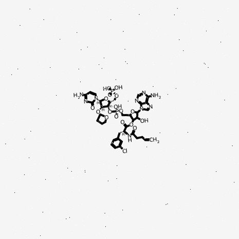 C=CCCC(=O)N[C@H](Cc1cccc(Cl)c1)C(=O)OC1C(COP(=O)(O)O[C@H]2[C@@H](OC3CCCO3)[C@H](n3ccc(N)nc3=O)O[C@@H]2COP(=O)(O)O)OC(n2cnc3c(N)ncnc32)C1O